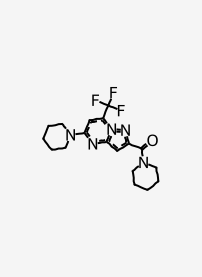 O=C(c1cc2nc(N3CCCCC3)cc(C(F)(F)F)n2n1)N1CCCCC1